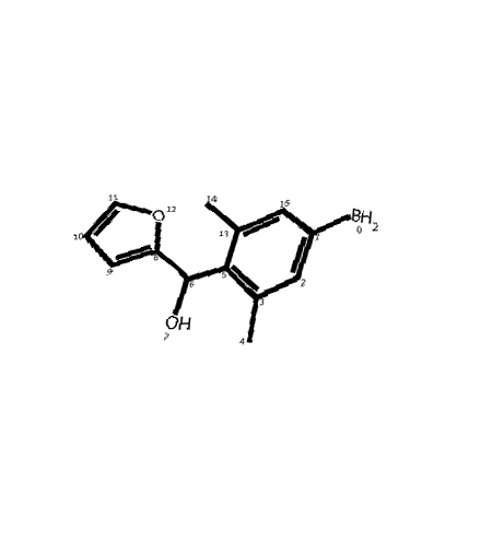 Bc1cc(C)c(C(O)c2ccco2)c(C)c1